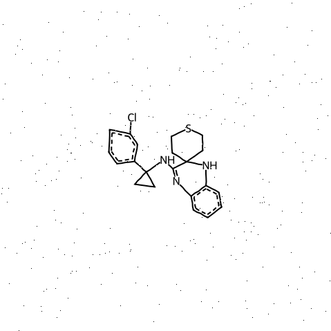 Clc1cccc(C2(NC3=Nc4ccccc4NC34CCSCC4)CC2)c1